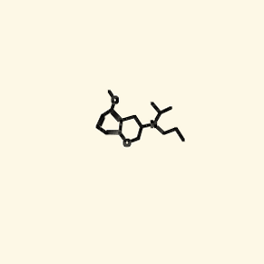 CCCN(C(C)C)C1COc2cccc(OC)c2C1